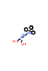 OCCN(CCO)CCNCCNC(c1ccccc1)(c1ccccc1)c1ccccc1